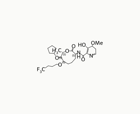 COC1CC=NC(C(=O)N[C@H]2CCC[C@H](OCCCC(F)(F)F)[C@@H](OC3CCCC3)[C@H](C)OC2=O)=C1O